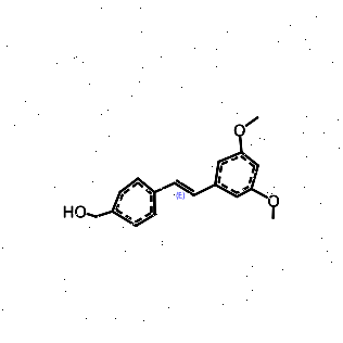 COc1cc(/C=C/c2ccc(CO)cc2)cc(OC)c1